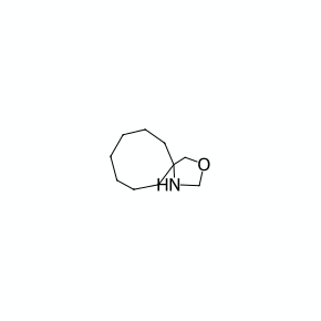 C1CCCC2(CCC1)COCN2